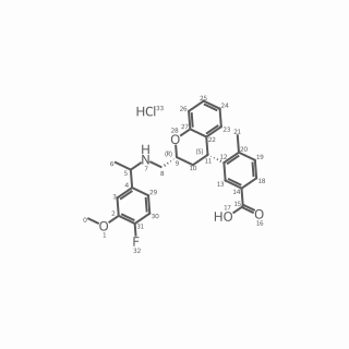 COc1cc(C(C)NC[C@H]2C[C@@H](c3cc(C(=O)O)ccc3C)c3ccccc3O2)ccc1F.Cl